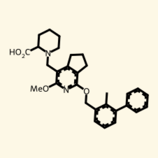 COc1nc(OCc2cccc(-c3ccccc3)c2C)c2c(c1CN1CCCCC1C(=O)O)CCC2